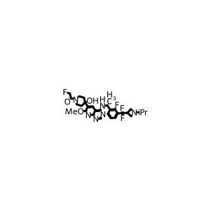 COc1nc2ncnc(N[C@H](C)c3cccc(C(F)(F)C4CN(C(C)C)C4)c3F)c2cc1C1(O)CCN(C(=O)CF)CC1